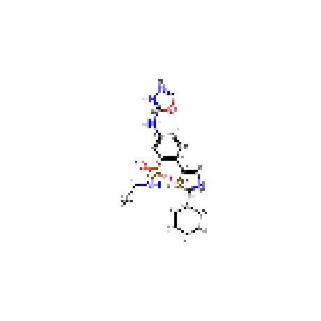 CCNS(=O)(=O)c1cc(Nc2nnco2)ccc1-c1cnc(C2CCCCC2)s1